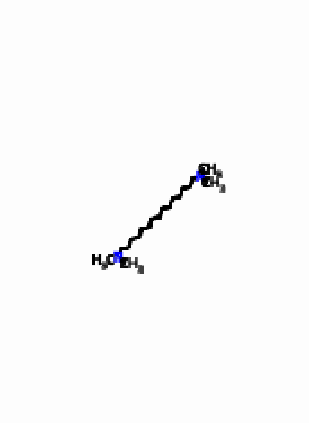 CN(C)CCCCCCCCCCCCCCCN(C)C